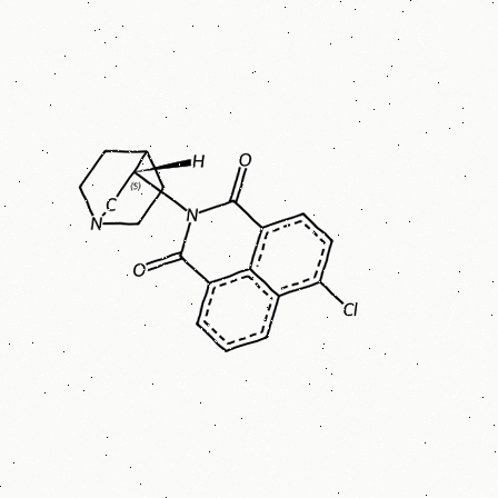 O=C1c2cccc3c(Cl)ccc(c23)C(=O)N1[C@@H]1CN2CCC1CC2